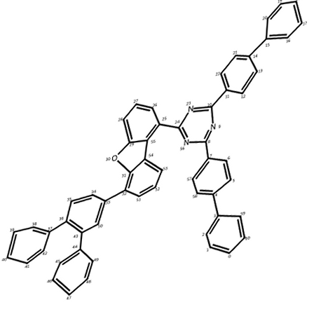 c1ccc(-c2ccc(-c3nc(-c4ccc(-c5ccccc5)cc4)nc(-c4cccc5oc6c(-c7ccc(-c8ccccc8)c(-c8ccccc8)c7)cccc6c45)n3)cc2)cc1